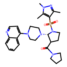 Cc1nn(C)c(C)c1S(=O)(=O)N1CCC(C(=O)N2CCCC2)[C@@H]1N1CCN(c2ccnc3ccccc23)CC1